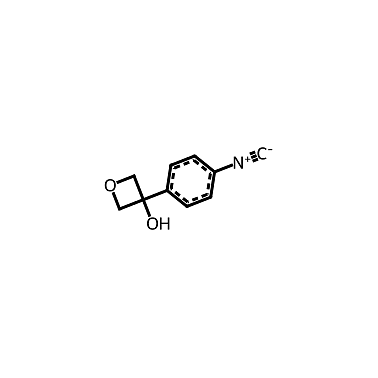 [C-]#[N+]c1ccc(C2(O)COC2)cc1